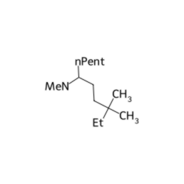 CCCCCC(CCC(C)(C)CC)NC